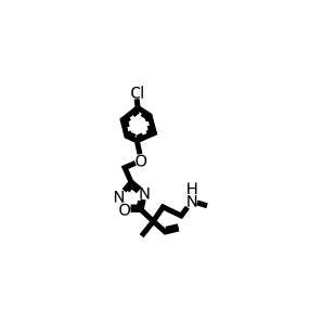 C=CC(C)(CCNC)c1nc(COc2ccc(Cl)cc2)no1